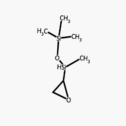 C[SiH](O[Si](C)(C)C)C1CO1